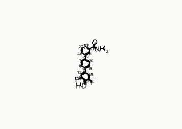 NC(=O)c1[c]c(-c2ccc(-c3cc(F)c(O)c(F)c3)cc2)ccn1